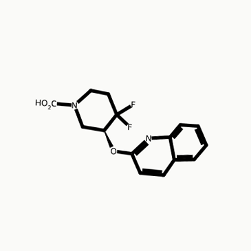 O=C(O)N1CCC(F)(F)[C@@H](Oc2ccc3ccccc3n2)C1